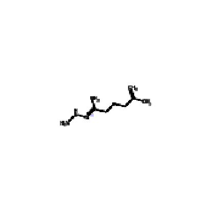 C=C(C)CCC/C(N)=N/NN